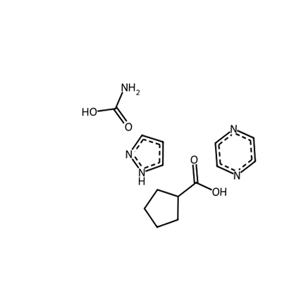 NC(=O)O.O=C(O)C1CCCC1.c1cn[nH]c1.c1cnccn1